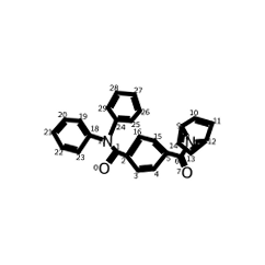 O=C(c1ccc(C(=O)n2c3ccc2cc3)cc1)N(c1ccccc1)c1ccccc1